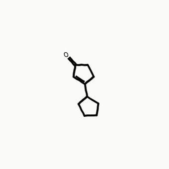 O=C1C=C(C2CCCC2)CC1